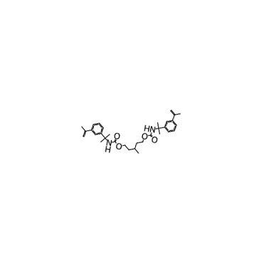 C=C(C)c1cccc(C(C)(C)NC(=O)OCCC(C)CCOC(=O)NC(C)(C)c2cccc(C(=C)C)c2)c1